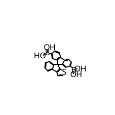 OB(O)c1ccc2c(c1)C1(c3cc(B(O)O)ccc3-2)c2ccccc2-c2ccsc21